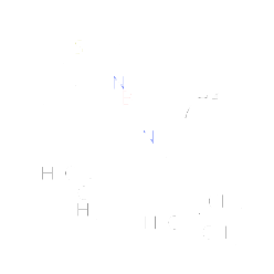 CC(C)(C)c1ccc(N2c3cc4ccccc4c4c3B(c3ccc5c(c32)-c2ccccc2C5(C)C)n2c3c-4cccc3c3sc4ccccc4c32)c(-c2ccccc2)c1